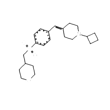 O=S(=O)(CC1CCOCC1)c1ccc(C=C2CCN(C3CCC3)CC2)cc1